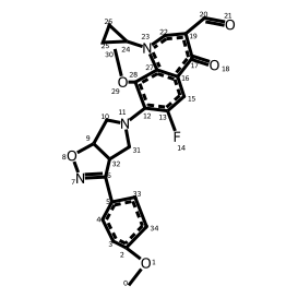 COc1ccc(C2=NOC3CN(c4c(F)cc5c(=O)c(C=O)cn(C6CC6)c5c4OC)CC23)cc1